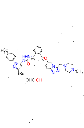 Cc1ccc(-n2nc(C(C)(C)C)cc2NC(=O)N[C@H]2CC[C@@H](Oc3ccc4nnc(CN5CCN(C)CC5)n4c3)c3ccccc32)cc1.O=CO